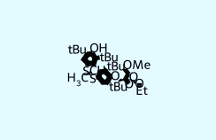 CCO[C@H]1OC(COC)[C@H](COc2c(C(C)(C)C)cc(SC(C)(C)Sc3cc(C(C)(C)C)c(O)c(C(C)(C)C)c3)cc2C(C)(C)C)O1